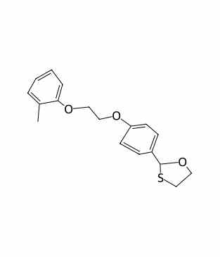 Cc1ccccc1OCCOc1ccc(C2OCCS2)cc1